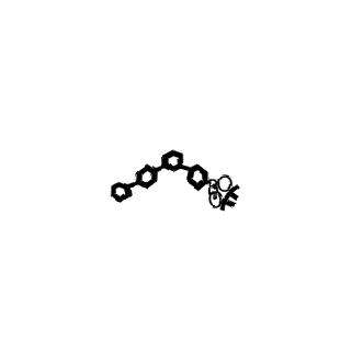 CC1(C)OB(c2ccc(-c3cccc(-c4ccc(-c5ccccc5)cc4)c3)cc2)OC1(C)C